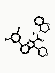 O=C(N[C@H]1CCOc2ccccc21)c1sc2c(-c3cc(F)cc(F)c3)cccc2c1C1=CCOCC1